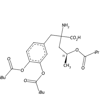 CCC(C)C(=O)Oc1ccc(CC(N)(C[C@H](C)OC(=O)C(C)C)C(=O)O)cc1OC(=O)C(C)CC